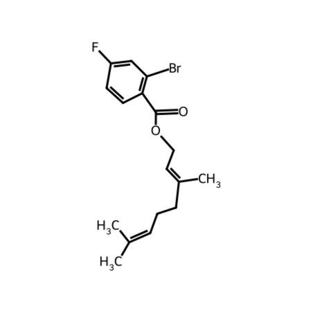 CC(C)=CCC/C(C)=C/COC(=O)c1ccc(F)cc1Br